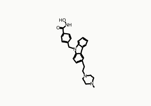 CN1CCN(CCc2ccc3c(c2)c2ccccc2n3Cc2ccc(C(=O)NO)cc2)CC1